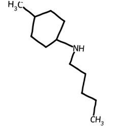 CCCCCNC1CCC(C)CC1